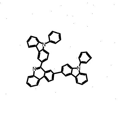 c1ccc(-n2c3ccccc3c3cc(-c4ccc5c(c4)c(-c4ccc6c(c4)c4ccccc4n6-c4ccccc4)nc4ccccc45)ccc32)cc1